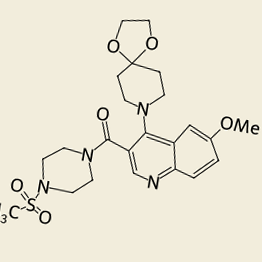 COc1ccc2ncc(C(=O)N3CCN(S(C)(=O)=O)CC3)c(N3CCC4(CC3)OCCO4)c2c1